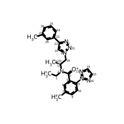 CCN(C(=O)c1cc(C)ccc1-n1nccn1)[C@@H](C)Cn1cc(-c2cccc(C)c2)nn1